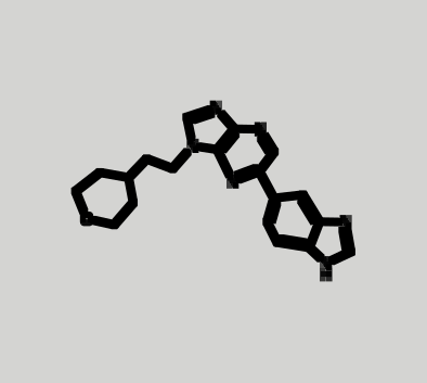 c1nc2cc(-c3cnc4ncn(CCC5CCOCC5)c4n3)ccc2[nH]1